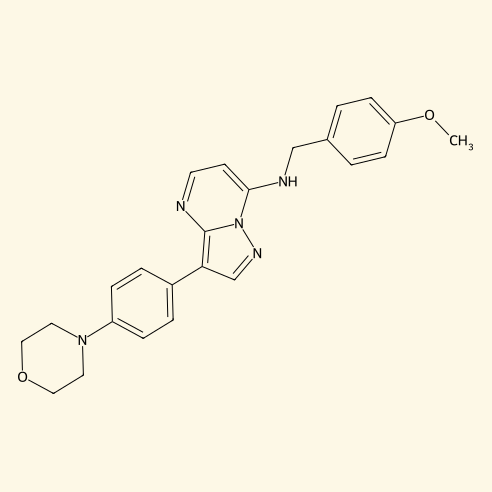 COc1ccc(CNc2ccnc3c(-c4ccc(N5CCOCC5)cc4)cnn23)cc1